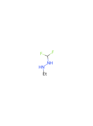 CCNNC(F)F